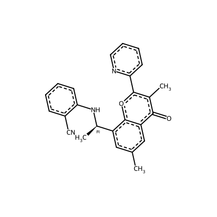 Cc1cc([C@@H](C)Nc2ccccc2C#N)c2oc(-c3ccccn3)c(C)c(=O)c2c1